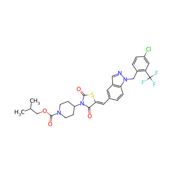 CC(C)COC(=O)N1CCC(N2C(=O)SC(=Cc3ccc4c(cnn4Cc4ccc(Cl)cc4C(F)(F)F)c3)C2=O)CC1